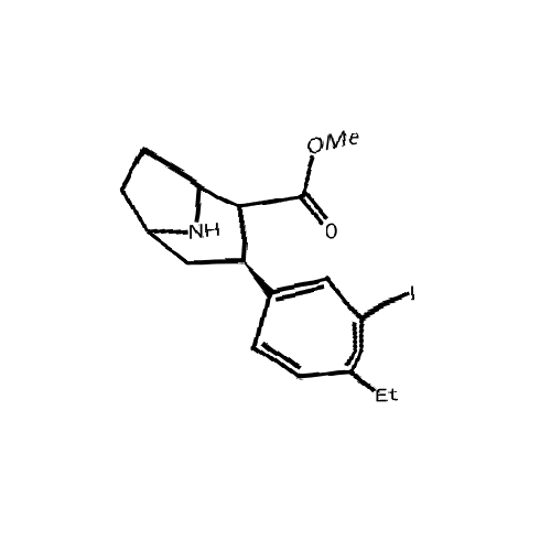 CCc1ccc([C@H]2CC3CCC(N3)C2C(=O)OC)cc1I